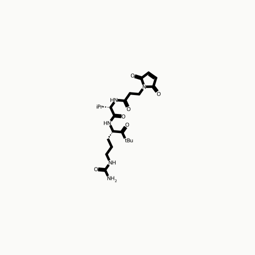 CC(C)[C@H](NC(=O)CCN1C(=O)C=CC1=O)C(=O)N[C@@H](CCCNC(N)=O)C(=O)C(C)(C)C